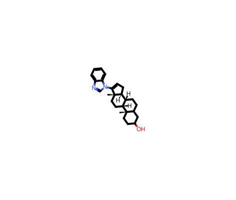 C[C@]12CCC(O)CC1CC[C@@H]1[C@H]2CC[C@]2(C)C(n3cnc4ccccc43)=CC[C@@H]12